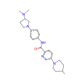 CC1CCN(c2ccc(C(=O)Nc3ccc(N4CCC(N(C)C)C4)cc3)nc2)CC1